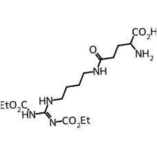 CCOC(=O)/N=C(\NCCCCNC(=O)CCC(N)C(=O)O)NC(=O)OCC